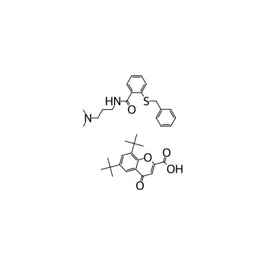 CC(C)(C)c1cc(C(C)(C)C)c2oc(C(=O)O)cc(=O)c2c1.CN(C)CCCNC(=O)c1ccccc1SCc1ccccc1